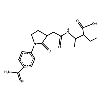 CCC(C(=O)O)C(C)NC(=O)CC1CCN(c2ccc(C(=N)N)cc2)C1=O